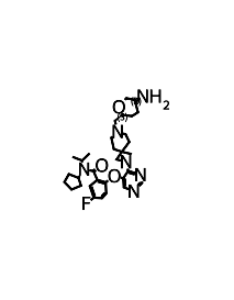 CC(C)N(C(=O)c1cc(F)ccc1Oc1cncnc1N1CC2(CCN(C[C@@H]3CC[C@@H](N)CO3)CC2)C1)C1CCCC1